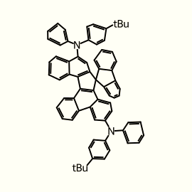 CC(C)(C)c1ccc(N(c2ccccc2)c2ccc3c4c(c5ccccc5c3c2)-c2c(cc(N(c3ccccc3)c3ccc(C(C)(C)C)cc3)c3ccccc23)C42c3ccccc3-c3ccccc32)cc1